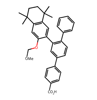 COCOc1cc2c(cc1-c1cc(-c3ccc(C(=O)O)cc3)ccc1-c1ccccc1)C(C)(C)CCC2(C)C